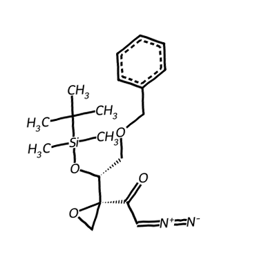 CC(C)(C)[Si](C)(C)O[C@H](COCc1ccccc1)[C@@]1(C(=O)C=[N+]=[N-])CO1